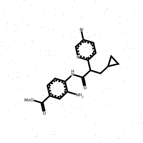 COC(=O)c1ccc(NC(=O)C(CC2CC2)c2ccc(Br)cn2)c(N)c1